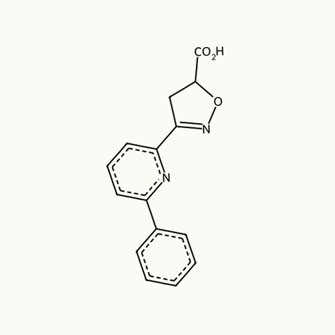 O=C(O)C1CC(c2cccc(-c3ccccc3)n2)=NO1